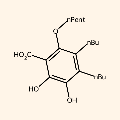 CCCCCOc1c(CCCC)c(CCCC)c(O)c(O)c1C(=O)O